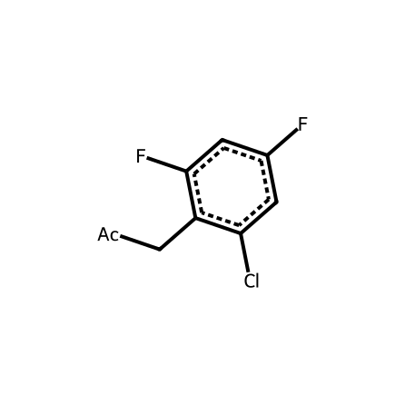 CC(=O)Cc1c(F)cc(F)cc1Cl